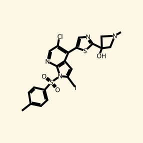 Cc1ccc(S(=O)(=O)n2c(I)cc3c(-c4cnc(C5(O)CN(C)C5)s4)c(Cl)cnc32)cc1